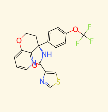 O=C(N[C@]1(c2ccc(OC(F)(F)F)cc2)CCOc2cccnc21)c1cscn1